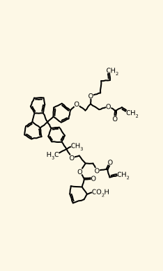 C=CCCOC(COC(=O)C=C)COc1ccc(C2(c3ccc(C(C)(C)OCC(COC(=O)C=C)OC(=O)C4CC=CCC4C(=O)O)cc3)c3ccccc3-c3ccccc32)cc1